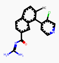 [C-]#[N+]c1ccc2ccc(C(=O)N=C(N)N)cc2c1-c1ccncc1Cl